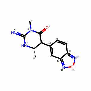 C[C@@H]1NC(=N)N(C)C(=O)C1c1ccc2nonc2c1